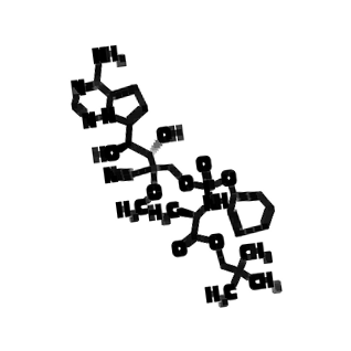 COC(C#N)(COP(=O)(N[C@H](C)C(=O)OCC(C)(C)C)Oc1ccccc1)[C@@H](O)[C@@H](O)c1ccc2c(N)ncnn12